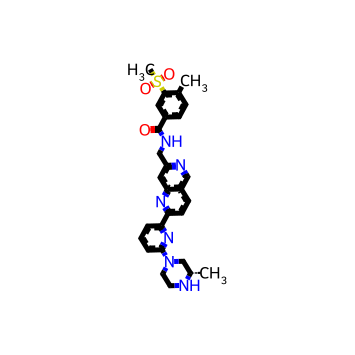 Cc1ccc(C(=O)NCc2cc3nc(-c4cccc(N5CCN[C@@H](C)C5)n4)ccc3cn2)cc1S(C)(=O)=O